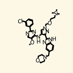 COc1cnc(-c2cccc(Cl)c2)nc1Nc1cn(COCC[Si](C)(C)C)nc1-c1nc2cc(CN3CCOCC3)ccc2[nH]1